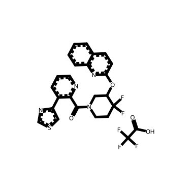 O=C(O)C(F)(F)F.O=C(c1ncccc1-c1cscn1)N1CCC(F)(F)C(Oc2ccc3ccccc3n2)C1